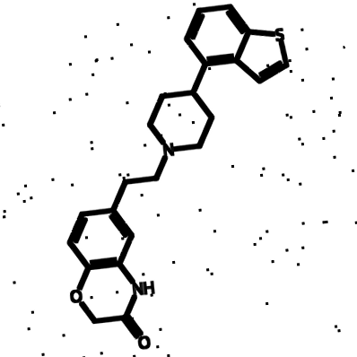 O=C1COc2ccc(CCN3CCC(c4cccc5sccc45)CC3)cc2N1